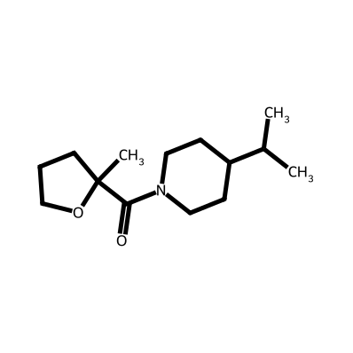 CC(C)C1CCN(C(=O)C2(C)CCCO2)CC1